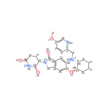 COc1ccc(CN[C@@H]2CCCC[C@H]2Oc2ccc3c(c2)CN(C2CCC(=O)NC2=O)C3=O)nc1